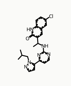 CC(C)Cn1nccc1-c1ccnc(NC(C)c2cc3cc(Cl)ccc3[nH]c2=O)n1